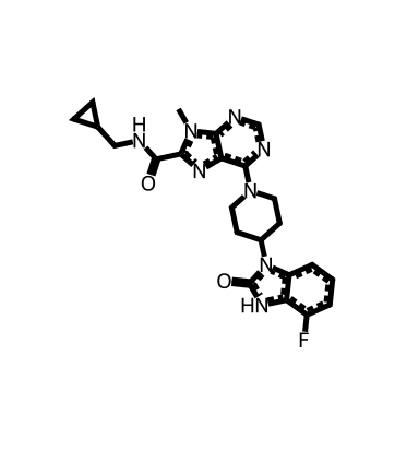 Cn1c(C(=O)NCC2CC2)nc2c(N3CCC(n4c(=O)[nH]c5c(F)cccc54)CC3)ncnc21